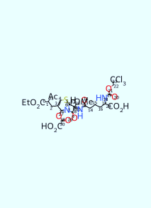 CCOC(=O)C(CC1=CS[C@@H]2N(C(=O)[C@]2(NC(=O)CCCC(NC(=O)OCC(Cl)(Cl)Cl)C(=O)O)OC)C1OC(=O)C(=O)O)C(C)=O